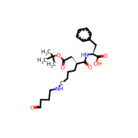 CC(C)(C)OC(=O)C[C@@H](CCCCNCCCC=O)C(=O)N[C@@H](Cc1ccccc1)C(=O)O